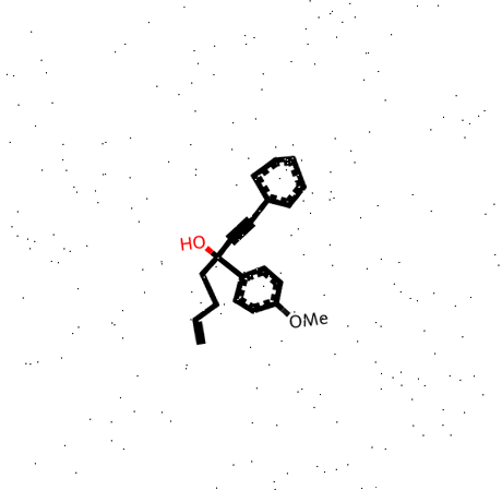 C=CCCC(O)(C#Cc1ccccc1)c1ccc(OC)cc1